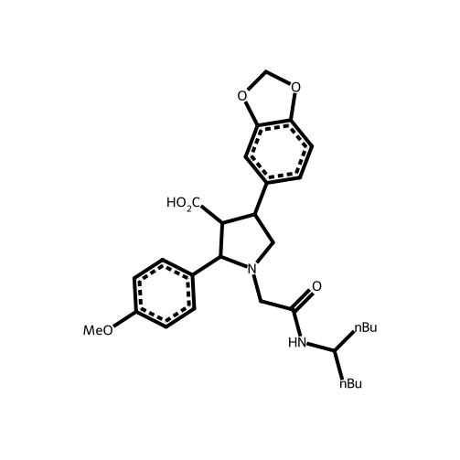 CCCCC(CCCC)NC(=O)CN1CC(c2ccc3c(c2)OCO3)C(C(=O)O)C1c1ccc(OC)cc1